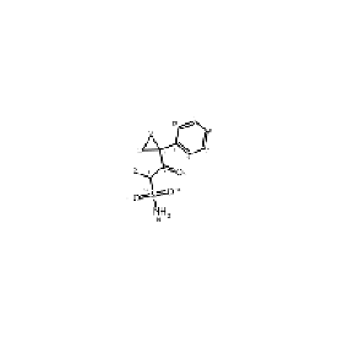 CC(C(=O)C1(c2ccccc2)CC1)S(N)(=O)=O